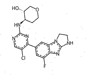 O[C@@H]1COCC[C@H]1Nc1ncc(Cl)c(-c2cc(F)c3nc4n(c3c2)CCN4)n1